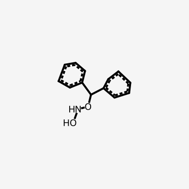 ONOC(c1ccccc1)c1ccccc1